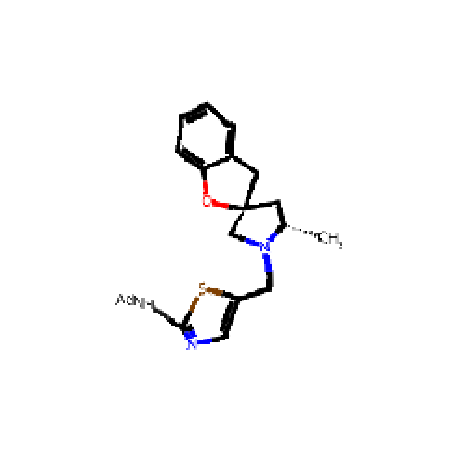 CC(=O)Nc1ncc(CN2C[C@@]3(Cc4ccccc4O3)C[C@@H]2C)s1